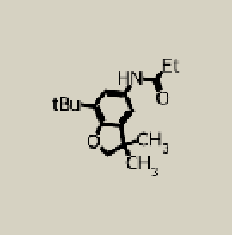 CCC(=O)Nc1cc(C(C)(C)C)c2c(c1)C(C)(C)CO2